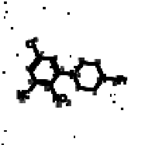 CC(C)N1CCN(c2cc(Cl)cc(C#N)c2[N+](=O)[O-])CC1